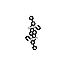 N#CC1=CC(c2ccccc2)CC=C1N(c1ccccn1)c1ccc2ccc3c(N(c4ccccn4)c4ccc(-c5ccccc5)cc4C#N)ccc4ccc1c2c43